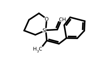 C=C[Si]1(C(C)=Cc2ccccc2)CCCCO1